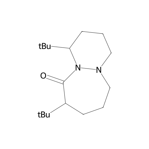 CC(C)(C)C1CCCN2CCCC(C(C)(C)C)N2C1=O